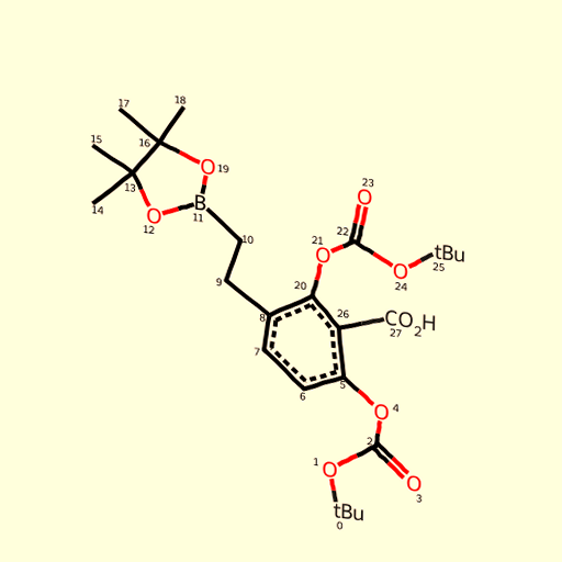 CC(C)(C)OC(=O)Oc1ccc(CCB2OC(C)(C)C(C)(C)O2)c(OC(=O)OC(C)(C)C)c1C(=O)O